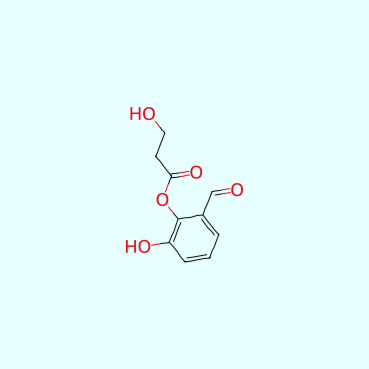 O=Cc1cccc(O)c1OC(=O)CCO